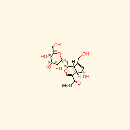 COC(=O)C1=CO[C@@H](O[C@@H]2O[C@H](CO)[C@@H](O)[C@H](O)[C@H]2O)[C@@H]2C(CO)=C[C@H](O)[C@H]12